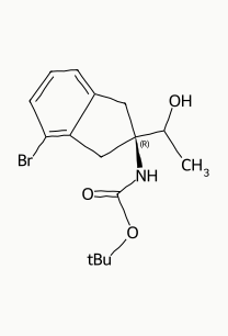 CC(O)[C@@]1(NC(=O)OC(C)(C)C)Cc2cccc(Br)c2C1